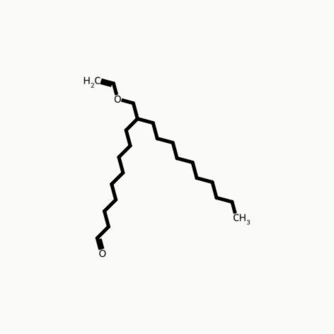 C=COCC(CCCCCCCCC=O)CCCCCCCCCC